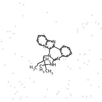 CCCCN1C(NC(C)(C)C)=Nc2ccccc2-c2nc3ccccn3c21